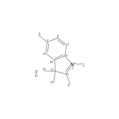 CC1=[N+](C)c2ccc(C)cc2C1(C)C.[I-]